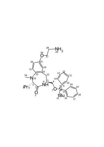 CC(C)[C@H]1C(=O)N[C@H](CO[Si](c2ccccc2)(c2ccccc2)C(C)(C)C)Cc2cc(OCCN)ccc2N1C